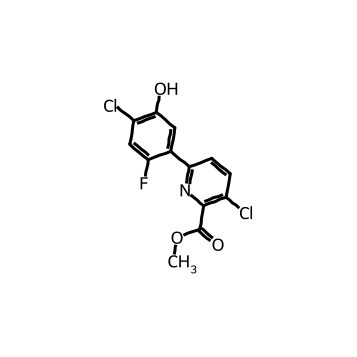 COC(=O)c1nc(-c2cc(O)c(Cl)cc2F)ccc1Cl